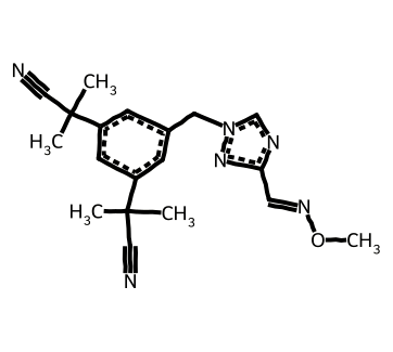 CO/N=C/c1ncn(Cc2cc(C(C)(C)C#N)cc(C(C)(C)C#N)c2)n1